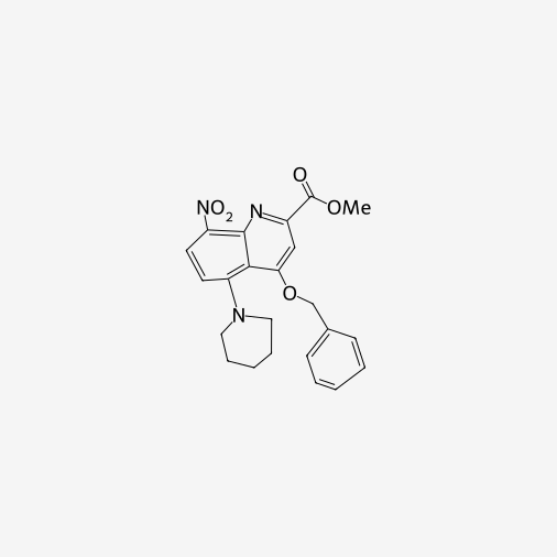 COC(=O)c1cc(OCc2ccccc2)c2c(N3CCCCC3)ccc([N+](=O)[O-])c2n1